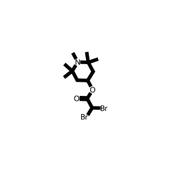 CN1C(C)(C)CC(OC(=O)C(Br)Br)CC1(C)C